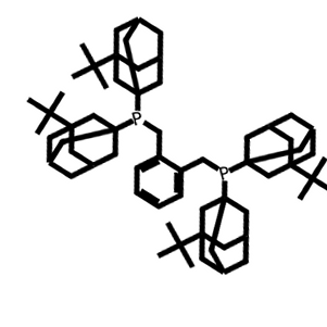 CC(C)(C)C12CC3CC(CC(P(Cc4ccccc4CP(C45CC6CC(C4)CC(C(C)(C)C)(C6)C5)C45CC6CC(C4)CC(C(C)(C)C)(C6)C5)C45CC6CC(C4)CC(C(C)(C)C)(C6)C5)(C3)C1)C2